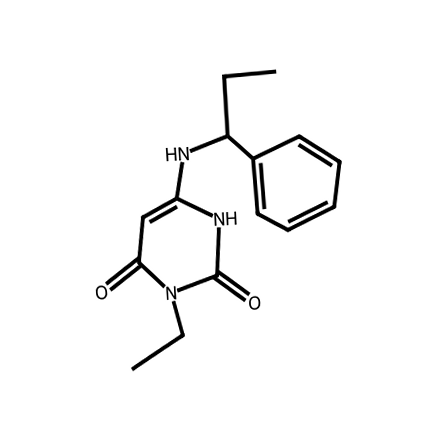 CCC(Nc1cc(=O)n(CC)c(=O)[nH]1)c1ccccc1